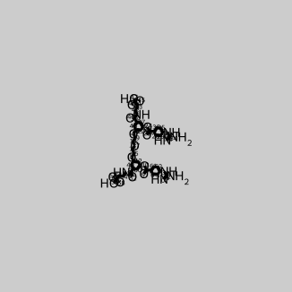 N=C(N)Nc1ccc(C(=O)Oc2cc(OCCOCCOc3cc(OC(=O)c4ccc(NC(=N)N)cc4)cc(C(=O)NCCS(=O)(=O)O)c3)cc(C(=O)NCCS(=O)(=O)O)c2)cc1